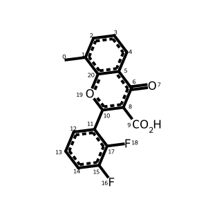 Cc1cccc2c(=O)c(C(=O)O)c(-c3cccc(F)c3F)oc12